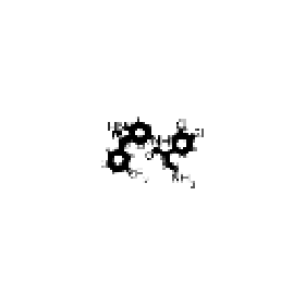 NCCC(C(=O)Nc1ccc2[nH]nc(-c3cccc(C(F)(F)F)c3)c2c1)c1ccc(Cl)c(Cl)c1